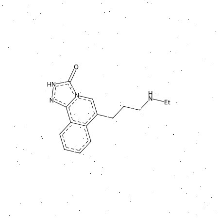 CCNCCCc1cn2c(=O)[nH]nc2c2ccccc12